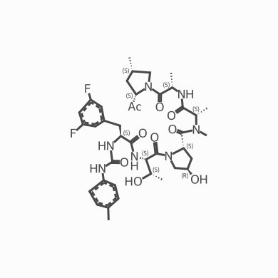 CC(=O)[C@@H]1C[C@H](C)CN1C(=O)[C@H](C)NC(=O)[C@H](C)N(C)C(=O)[C@@H]1C[C@@H](O)CN1C(=O)[C@@H](NC(=O)[C@H](Cc1cc(F)cc(F)c1)NC(=O)Nc1ccc(C)cc1)[C@H](C)O